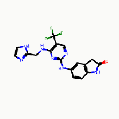 O=C1Cc2cc(Nc3ncc(C(F)(F)F)c(NCc4ncc[nH]4)n3)ccc2N1